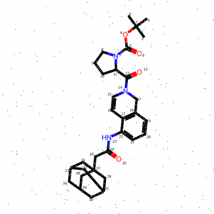 CC(C)(C)OC(=O)N1CCCC1C(=O)N1C=Cc2c(cccc2NC(=O)CC23CC4CC(CC(C4)C2)C3)C1